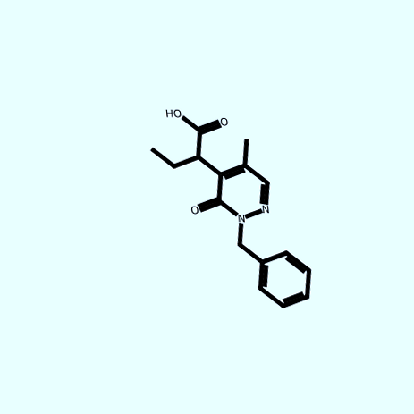 CCC(C(=O)O)c1c(C)cnn(Cc2ccccc2)c1=O